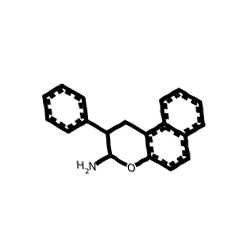 NC1Oc2ccc3ccccc3c2CC1c1ccccc1